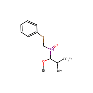 CCCC(C(=O)OCC)C(OCC)[PH](=O)CSc1ccccc1